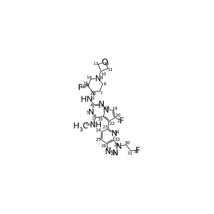 CNc1nc(N[C@H]2CCN(C3COC3)C[C@H]2F)nn2cc(F)c(-c3ccc4nnn(CCF)c4n3)c12